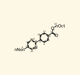 CCCCCCCCCc1cnc(-c2ccc(C(=O)OCCCCCCCC)cc2)nc1